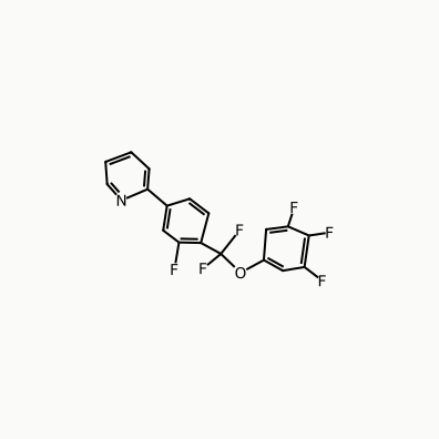 Fc1cc(-c2ccccn2)ccc1C(F)(F)Oc1cc(F)c(F)c(F)c1